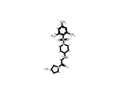 Cc1cc(C)c(S(=O)(=O)N2CCC(NCC(=O)N3CC[C@H](F)C3)CC2)c(C)c1